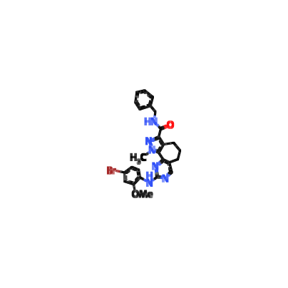 COc1cc(Br)ccc1Nc1ncc2c(n1)-c1c(c(C(=O)NCc3ccccc3)nn1C)CCC2